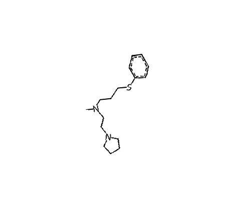 CN(CCCSc1ccccc1)CCN1CCCC1